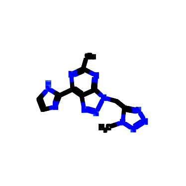 Cn1nnnc1Cn1nnc2c(-c3ncc[nH]3)nc(C(C)(C)C)nc21